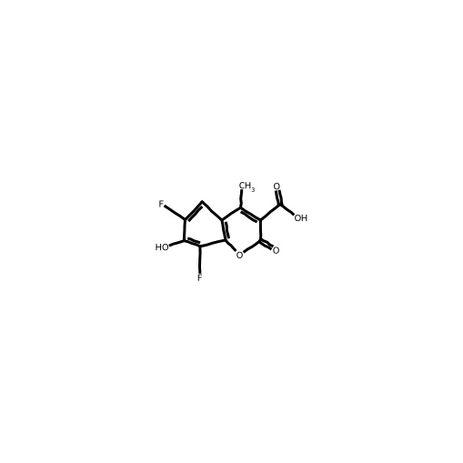 Cc1c(C(=O)O)c(=O)oc2c(F)c(O)c(F)cc12